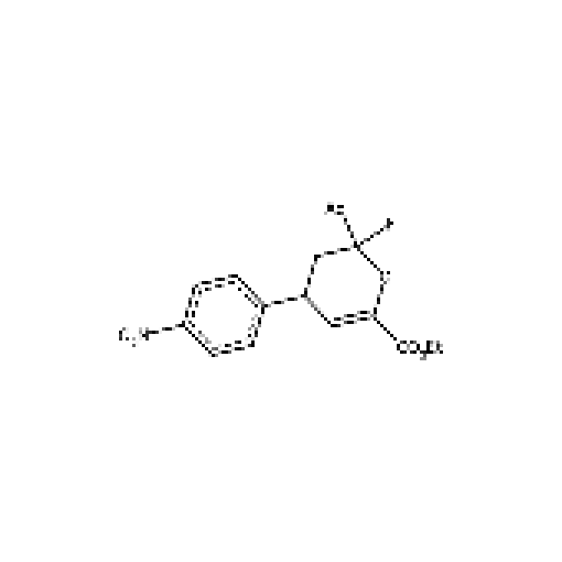 CCOC(=O)C1=CC(c2ccc([N+](=O)[O-])cc2)CC(F)(C(C)=O)O1